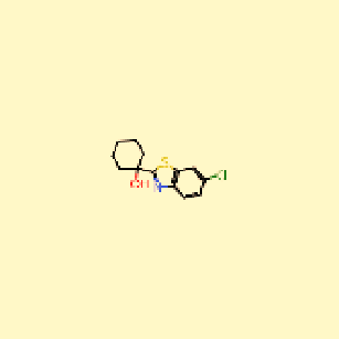 OC1(c2nc3ccc(Cl)cc3s2)CCCCC1